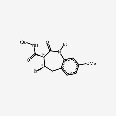 CCN1C(=O)[C@H](C(=O)NC(C)(C)C)[C@H](Br)Cc2ccc(OC)cc21